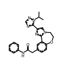 CC(C)n1ncnc1-c1cn2c(n1)-c1cc(CC(=O)Nc3ccccc3)ccc1OCC2